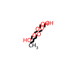 CCCCCCOCCOCCO.OCCOCCOCCO